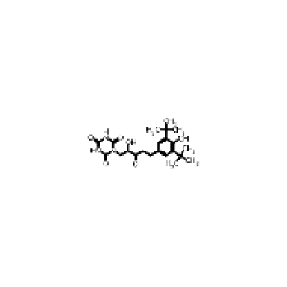 CC(C)(C)c1cc(CCC(=O)C(O)Cn2c(=O)[nH]c(=O)[nH]c2=O)cc(C(C)(C)C)c1O